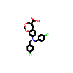 O=C(O)/C1=C/c2ccc(N(Cc3ccc(Cl)cc3)Cc3ccc(Cl)cc3)cc2OCOC1